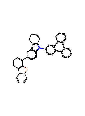 C1=CC2SC3=C(CCC=C3c3ccc4c(c3)c3c(n4-c4ccc5c6ccccc6c6ccccc6c5c4)C=CCC3)C2C=C1